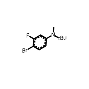 CN(c1ccc(Br)c(F)c1)C(C)(C)C